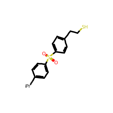 CC(C)c1ccc(S(=O)(=O)c2ccc(CCS)cc2)cc1